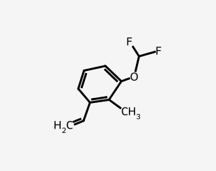 C=Cc1cccc(OC(F)F)c1C